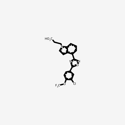 O=C(O)CCn1ccc2c(-c3noc(-c4ccc(OC(F)(F)F)c(Cl)c4)n3)cccc21